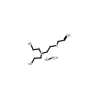 C=CCOCCN(CCO)CCO.O=S(=O)(O)O